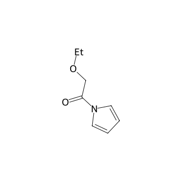 CCOCC(=O)n1cccc1